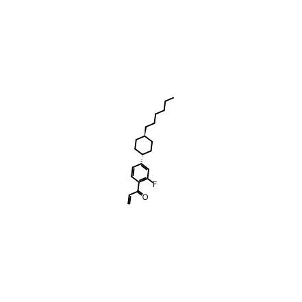 C=CC(=O)c1ccc([C@H]2CC[C@H](CCCCCC)CC2)cc1F